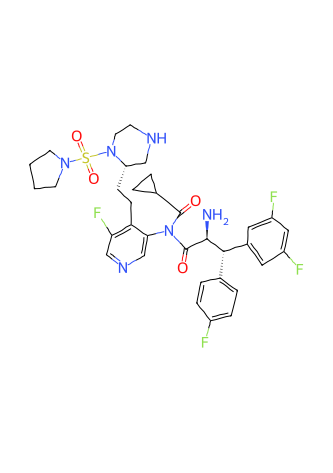 N[C@H](C(=O)N(C(=O)C1CC1)c1cncc(F)c1CC[C@H]1CNCCN1S(=O)(=O)N1CCCC1)[C@@H](c1ccc(F)cc1)c1cc(F)cc(F)c1